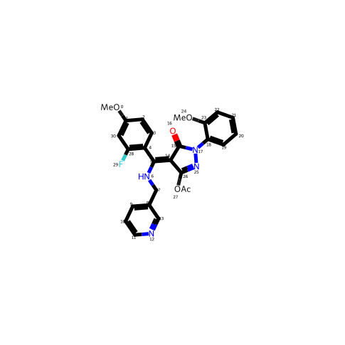 COc1ccc(/C(NCc2cccnc2)=C2\C(=O)N(c3ccccc3OC)N=C2OC(C)=O)c(F)c1